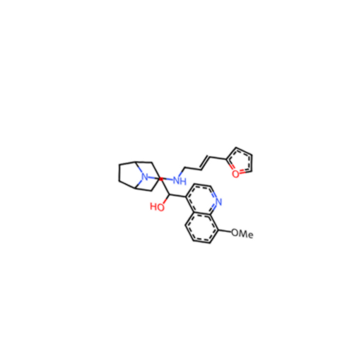 COc1cccc2c(C(O)CN3C4CCC3CC(NCC=Cc3ccco3)C4)ccnc12